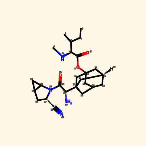 CCC(C)[C@H](NC)C(=O)OC12CC3C[C@H](C1)CC([C@H](N)C(=O)N1C4CC4C[C@H]1C#N)(C3)C2